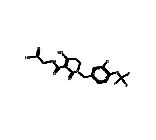 O=C(O)CNC(=O)C1=C(O)CCN(Cc2ccc(OC(F)(F)F)c(Cl)c2)C1=O